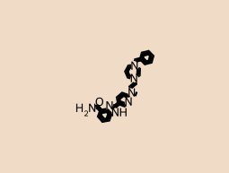 CN(CCN1CCCN(Cc2ccccc2)CC1)c1ccc(-c2nc3c(C(N)=O)cccc3[nH]2)cn1